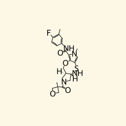 Cc1cc(NC(=O)c2c3c(cn2C)SN[C@@H]2CN(C(=O)C4(C)COC4)C[C@H]2CO3)ccc1F